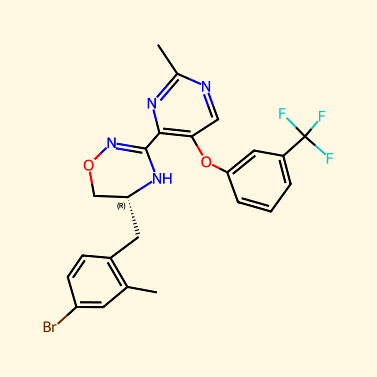 Cc1ncc(Oc2cccc(C(F)(F)F)c2)c(C2=NOC[C@@H](Cc3ccc(Br)cc3C)N2)n1